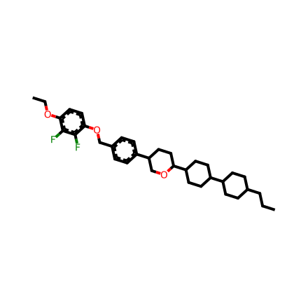 CCCC1CCC(C2CCC(C3CCC(c4ccc(COc5ccc(OCC)c(F)c5F)cc4)CO3)CC2)CC1